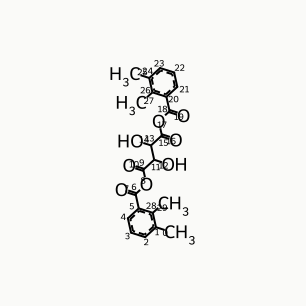 Cc1cccc(C(=O)OC(=O)C(O)C(O)C(=O)OC(=O)c2cccc(C)c2C)c1C